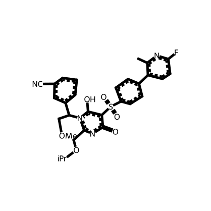 COCC(c1cccc(C#N)c1)n1c(COC(C)C)nc(=O)c(S(=O)(=O)c2ccc(-c3ccc(F)nc3C)cc2)c1O